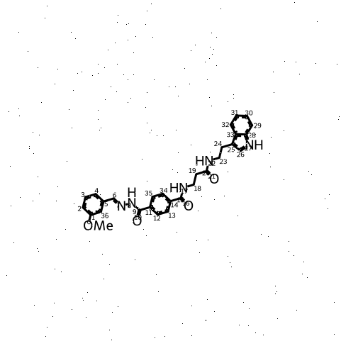 COc1cccc(C=NNC(=O)c2ccc(C(=O)NCCC(=O)NCCc3c[nH]c4ccccc34)cc2)c1